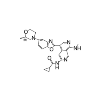 CNc1ncc(-c2nc3cc(N4CCO[C@H](C)C4)ccc3o2)c2cc(NC(=O)C3CC3)ncc12